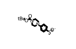 C[S+]([O-])c1ccc(N2CCN(C(=O)OC(C)(C)C)CC2)cc1